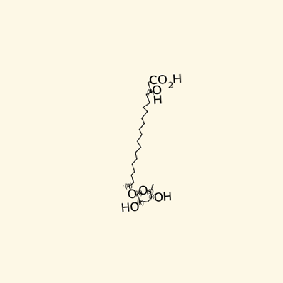 C[C@H](CCCCCCCCCCCCCCCC[C@@H](O)CC(=O)O)O[C@@H]1O[C@@H](C)[C@H](O)C[C@H]1O